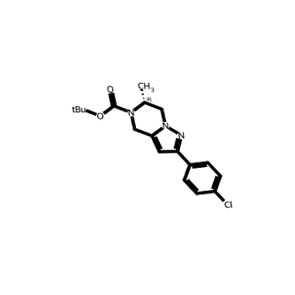 C[C@@H]1Cn2nc(-c3ccc(Cl)cc3)cc2CN1C(=O)OC(C)(C)C